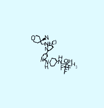 CC(O)(CN[C@H]1CC[C@H](Nc2cc(-c3ccc(Cl)c(NCC4(C#N)CCOCC4)n3)ccn2)CC1)C(F)(F)F